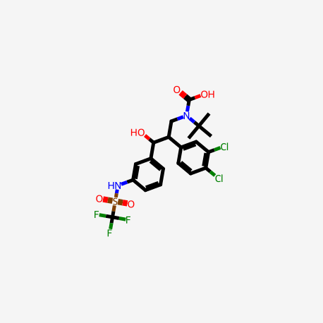 CC(C)(C)N(CC(c1ccc(Cl)c(Cl)c1)C(O)c1cccc(NS(=O)(=O)C(F)(F)F)c1)C(=O)O